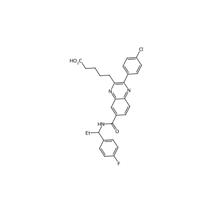 CCC(NC(=O)c1ccc2nc(-c3ccc(Cl)cc3)c(CCCCC(=O)O)nc2c1)c1ccc(F)cc1